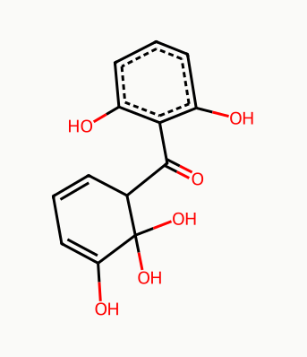 O=C(c1c(O)cccc1O)C1C=CC=C(O)C1(O)O